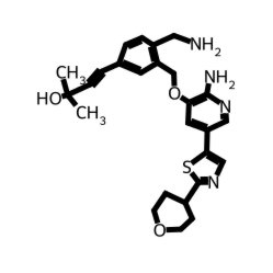 CC(C)(O)C#Cc1ccc(CN)c(COc2cc(-c3cnc(C4CCOCC4)s3)cnc2N)c1